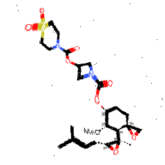 CO[C@@H]1[C@H](OC(=O)N2CC(OC(=O)N3CCS(=O)(=O)CC3)C2)CC[C@]2(CO2)[C@H]1[C@@]1(C)O[C@@H]1CC=C(C)C